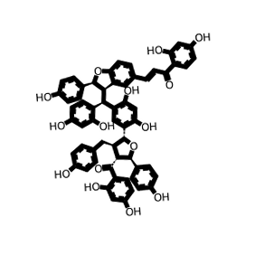 O=C(/C=C/c1ccc2c(c1)[C@@H]([C@H](c1ccc(O)cc1O)c1cc([C@@H]3O[C@@H](c4ccc(O)cc4)[C@H](C(=O)c4ccc(O)cc4O)[C@H]3Cc3ccc(O)cc3)c(O)cc1O)[C@@H](c1ccc(O)cc1)O2)c1ccc(O)cc1O